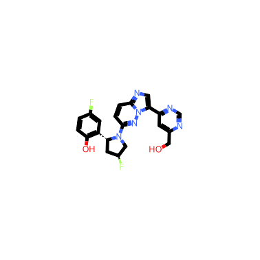 OCc1cc(-c2cnc3ccc(N4C[C@@H](F)C[C@@H]4c4cc(F)ccc4O)nn23)ncn1